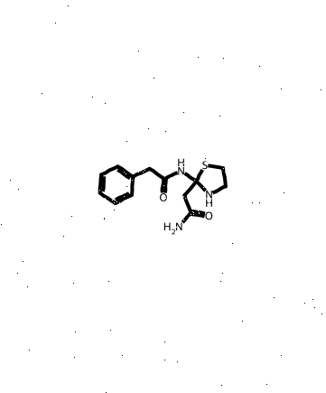 NC(=O)CC1(NC(=O)Cc2ccccc2)NCCS1